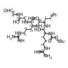 CC(C)CC[C@@H](NC(O)[C@H](CCCNC(=N)N)NC(=O)OC(C)(C)C)C(O)N[C@@H](CCCNC(=N)N)C(O)NCC(O)NCC=O